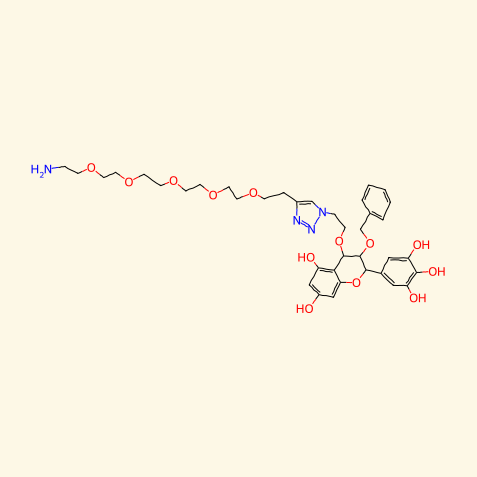 NCCOCCOCCOCCOCCOCCc1cn(CCOC2c3c(O)cc(O)cc3OC(c3cc(O)c(O)c(O)c3)C2OCc2ccccc2)nn1